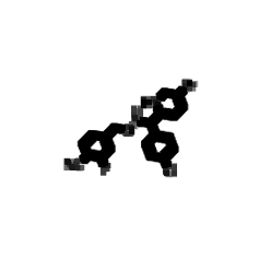 N#Cc1ccc(CONC(C2=CC=C(Br)CN2)c2ccc(Cl)cc2)cc1F